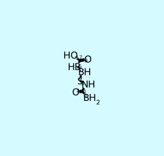 BC(=O)NSBBC(=O)O